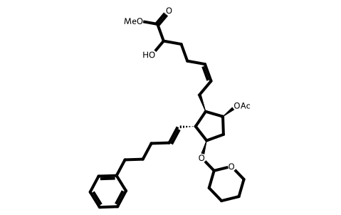 COC(=O)C(O)CC/C=C\C[C@@H]1[C@@H](/C=C/CCCc2ccccc2)[C@H](OC2CCCCO2)C[C@@H]1OC(C)=O